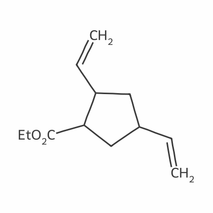 C=CC1CC(C=C)C(C(=O)OCC)C1